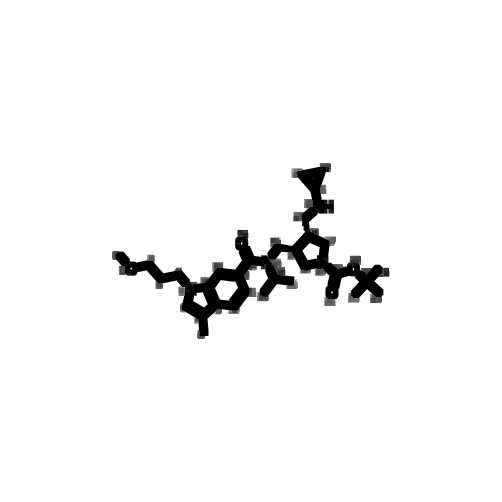 COCCCn1cc(C)c2ccc(C(=O)N(C[C@@H]3CN(C(=O)OC(C)(C)C)C[C@H]3CNC3CC3)C(C)C)cc21